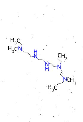 CCCN(C)CCN(CCC)CCNCCNCCCN(C)CC